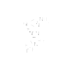 CCn1c(C(F)(F)F)cc2nc(-c3nc(N)ccc3S(=O)(=O)CC)n(C)c2c1=O